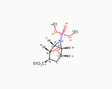 CCOC(=O)[C@@H]1C[C@@H]2O[C@H]1[C@H]1[C@@H]2N1P(=O)(OCC)OCC